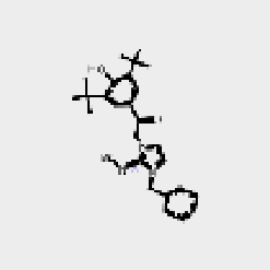 CC(C)(C)c1cc(C(=O)Cn2ccn(Cc3ccccc3)/c2=N/Br)cc(C(C)(C)C)c1O